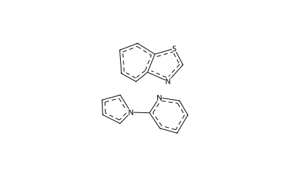 c1ccc(-n2cccc2)nc1.c1ccc2scnc2c1